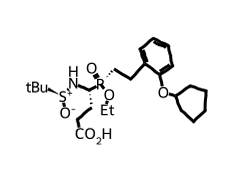 CCO[P@@](=O)(CCc1ccccc1OC1CCCCC1)[C@H](CCC(=O)O)N[S@@+]([O-])C(C)(C)C